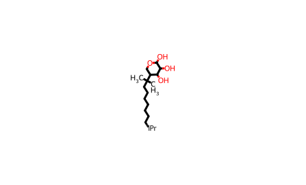 CC(C)CCCCCCCC(C)(C)C1COC(O)C(O)C1O